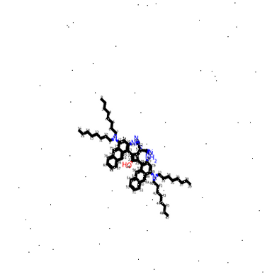 CCCCCCCCN(CCCCCCCC)c1cc(N)c(C2=C(O)C(c3c(N)cc(N(CCCCCCCC)CCCCCCCC)c4cc5ccccc5cc34)C2=C(C#N)C#N)c2cc3ccccc3cc12